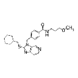 COCCCNC(=O)c1ccc(Cn2c(SCC3CCCCC3)nc3ccncc32)cc1